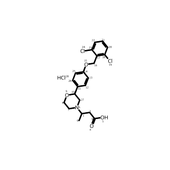 CC(CC(=O)O)N1CCOC(c2ccc(OCc3c(Cl)cccc3Cl)cc2)C1.Cl